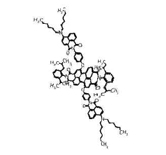 CCCCCCN(CCCCCC)c1ccc2c3c(cccc13)C(=O)N(c1ccc(Oc3cc4c5c(ccc6c7c(Oc8ccc(N9C(=O)c%10cccc%11c(N(CCCCCC)CCCCCC)ccc(c%10%11)C9=O)cc8)cc8c9c(ccc(c3c56)c97)C(=O)N(c3c(CC(C)C)cccc3C(C)CC)C8=O)C(=O)N(c3c(CC(C)C)cccc3C(C)C)C4=O)cc1)C2=O